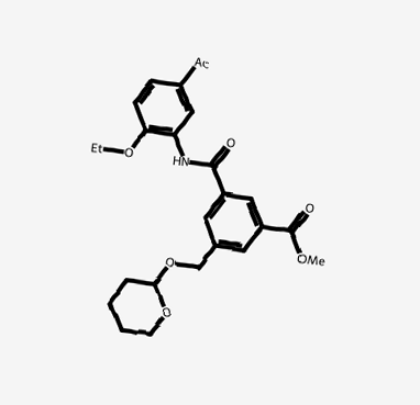 CCOc1ccc(C(C)=O)cc1NC(=O)c1cc(COC2CCCCO2)cc(C(=O)OC)c1